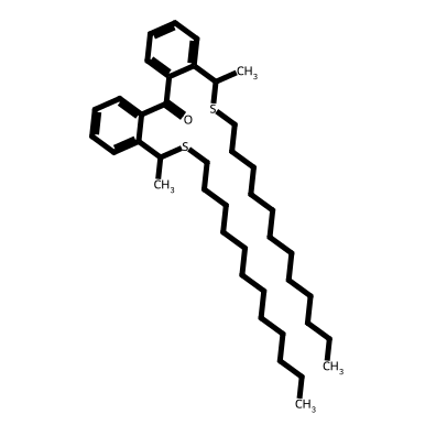 CCCCCCCCCCCCSC(C)c1ccccc1C(=O)c1ccccc1C(C)SCCCCCCCCCCCC